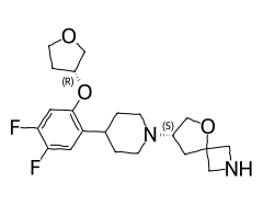 Fc1cc(O[C@@H]2CCOC2)c(C2CCN([C@@H]3COC4(CNC4)C3)CC2)cc1F